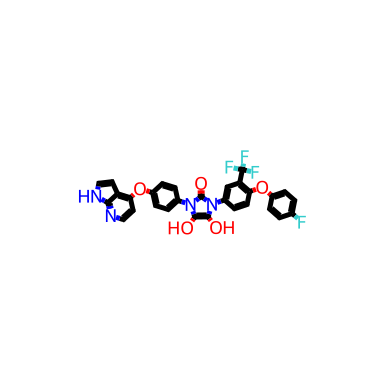 O=c1n(-c2ccc(Oc3ccnc4[nH]ccc34)cc2)c(O)c(O)n1-c1ccc(Oc2ccc(F)cc2)c(C(F)(F)F)c1